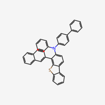 c1ccc(-c2ccc(N(c3ccccc3)c3ccc4c(sc5ccccc54)c3-c3ccc4ccccc4c3)cc2)cc1